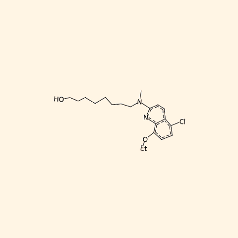 CCOc1ccc(Cl)c2ccc(N(C)CCCCCCCCO)nc12